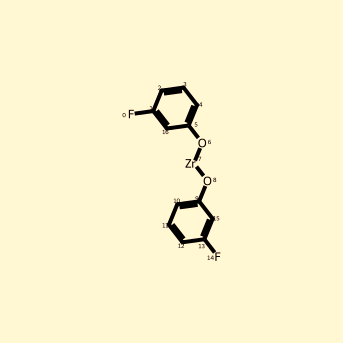 Fc1cccc([O][Zr][O]c2cccc(F)c2)c1